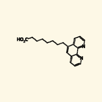 O=C(O)CCCCCCCc1cc2cccnc2c2ncccc12